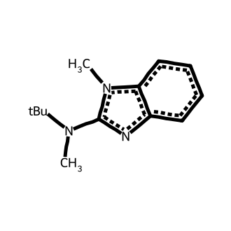 CN(c1nc2ccccc2n1C)C(C)(C)C